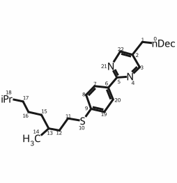 CCCCCCCCCCCc1cnc(-c2ccc(SCCC(C)CCCC(C)C)cc2)nc1